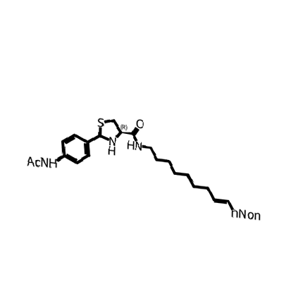 CCCCCCCCCC=CCCCCCCCNC(=O)[C@@H]1CSC(c2ccc(NC(C)=O)cc2)N1